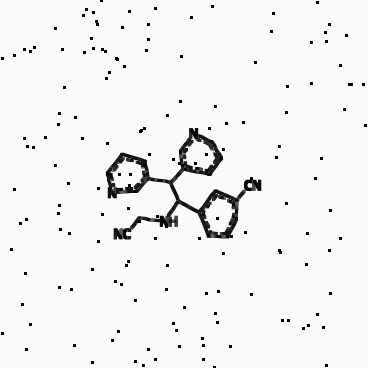 N#CCNC(c1cccc(C#N)c1)C(c1cccnc1)c1cccnc1